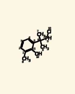 Cc1cccc(C(C)(C)PCl)c1O